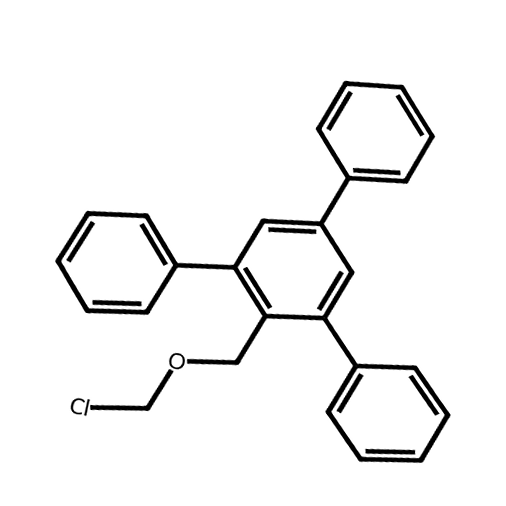 ClCOCc1c(-c2ccccc2)cc(-c2ccccc2)cc1-c1ccccc1